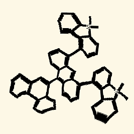 C[Si]1(C)c2ccccc2-c2c(-c3cccc4c(-c5cc6ccccc6c6ccccc56)c5cccc(-c6cccc7c6-c6ccccc6[Si]7(C)C)c5cc34)cccc21